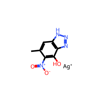 Cc1cc2[nH]nnc2c(O)c1[N+](=O)[O-].[Ag+]